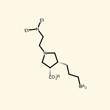 BCCC[C@H]1CN(CCN(CC)CC)C[C@H]1C(=O)O